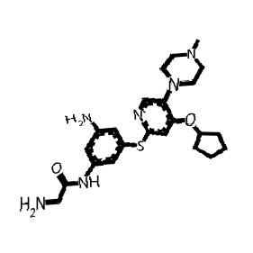 CN1CCN(c2cnc(Sc3cc(N)cc(NC(=O)CN)c3)cc2OC2CCCC2)CC1